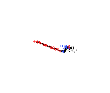 CCCN(OCC)C(=O)C1=Cc2sc(CC3CCN(CCOCCOCCOCCOCCOCCOCCOCCOCCOCCOCCC(=O)O)CC3)cc2N=C(N)C1